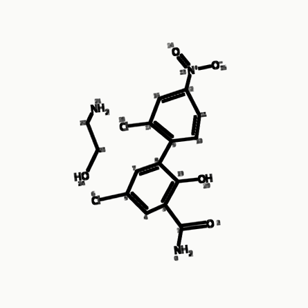 NC(=O)c1cc(Cl)cc(-c2ccc([N+](=O)[O-])cc2Cl)c1O.NCCO